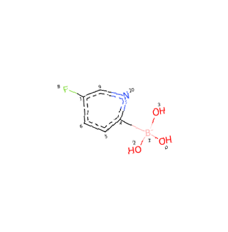 O[B-](O)(O)c1ccc(F)cn1